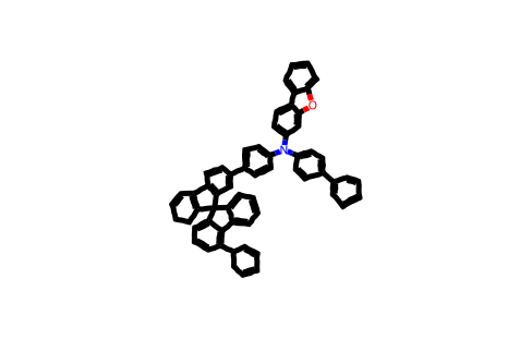 C1=CCC(c2cccc3c2-c2ccccc2C32C3=C(C=CCC3)c3ccc(-c4ccc(N(c5ccc(-c6ccccc6)cc5)c5ccc6c(c5)oc5ccccc56)cc4)cc32)C=C1